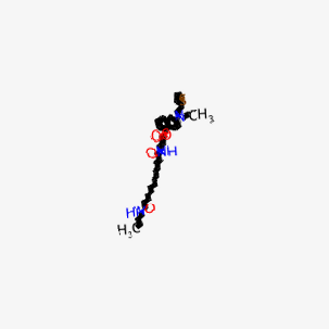 CCCCNC(=O)CCCCCCCCCCCCC(=O)NCCC(=O)Oc1cccc2c1CC[C@H](N(CCC)CCc1cccs1)C2